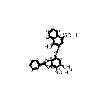 Cc1cc(N=Nc2cc(S(=O)(=O)O)c3ccccc3c2O)c2nc(-c3ccccc3)sc2c1S(=O)(=O)O